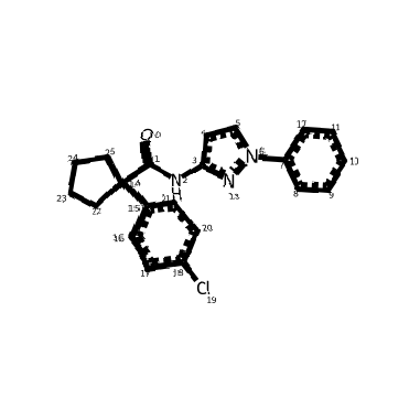 O=C(Nc1ccn(-c2ccccc2)n1)C1(c2ccc(Cl)cc2)CCCC1